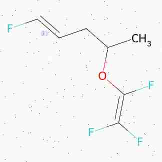 CC(C/C=C/F)OC(F)=C(F)F